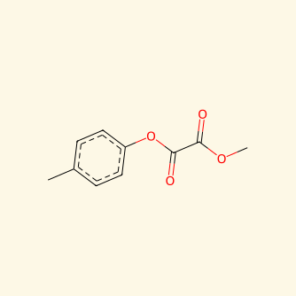 COC(=O)C(=O)Oc1ccc(C)cc1